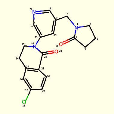 O=C1CCCN1Cc1cncc(N2CCc3cc(Cl)ccc3C2=O)c1